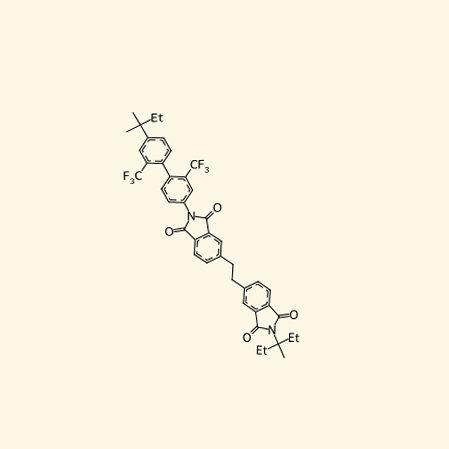 CCC(C)(C)c1ccc(-c2ccc(N3C(=O)c4ccc(CCc5ccc6c(c5)C(=O)N(C(C)(CC)CC)C6=O)cc4C3=O)cc2C(F)(F)F)c(C(F)(F)F)c1